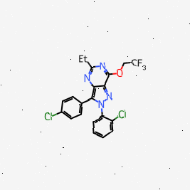 CCc1nc(OCC(F)(F)F)c2nn(-c3ccccc3Cl)c(-c3ccc(Cl)cc3)c2n1